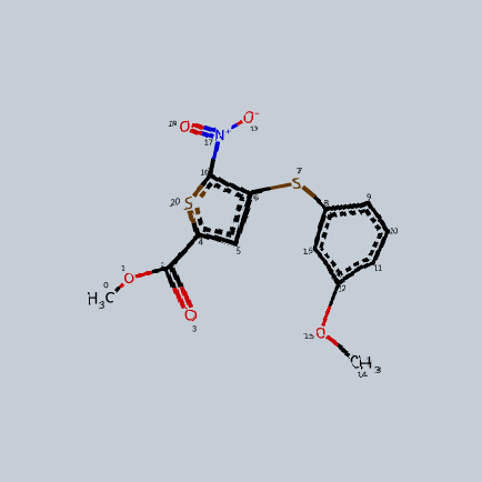 COC(=O)c1cc(Sc2cccc(OC)c2)c([N+](=O)[O-])s1